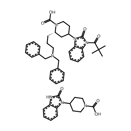 CC(C)(C)C(=O)n1c(=O)n(C2CCN(C(=O)O)[C@@H](CCCN(Cc3ccccc3)Cc3ccccc3)C2)c2ccccc21.O=C(O)N1CCC(n2c(=O)[nH]c3ccccc32)CC1